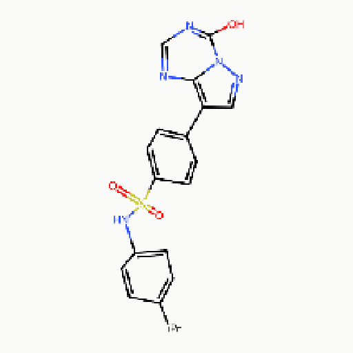 CC(C)c1ccc(NS(=O)(=O)c2ccc(-c3cnn4c(O)ncnc34)cc2)cc1